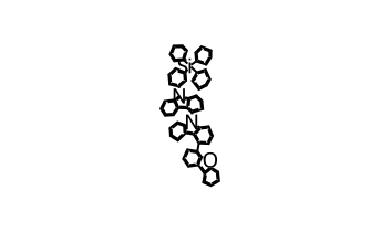 c1ccc([Si](c2ccccc2)(c2ccccc2)c2cccc(-n3c4ccccc4c4c(-n5c6ccccc6c6c(-c7cccc8c7oc7ccccc78)cccc65)cccc43)c2)cc1